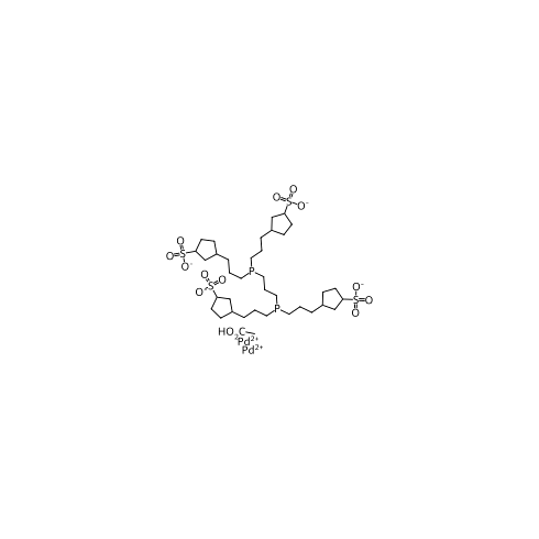 CC(=O)O.O=S(=O)([O-])C1CCC(CCCP(CCCC2CCC(S(=O)(=O)[O-])C2)CCCP(CCCC2CCC(S(=O)(=O)[O-])C2)CCCC2CCC(S(=O)(=O)[O-])C2)C1.[Pd+2].[Pd+2]